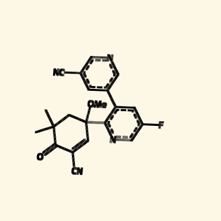 COC1(c2ncc(F)cc2-c2cncc(C#N)c2)C=C(C#N)C(=O)C(C)(C)C1